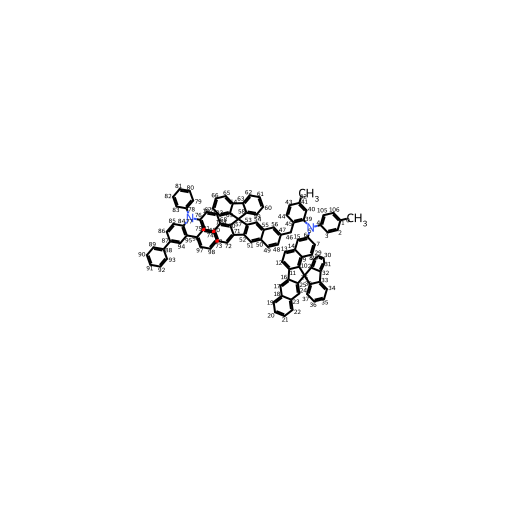 Cc1ccc(N(c2ccc3c4c(ccc3c2)-c2cc3ccccc3cc2C42c3ccccc3-c3ccccc32)c2cc(C)ccc2Cc2ccc3cc4c(cc3c2)C2(c3ccccc3-c3ccccc32)c2c-4ccc3cc(N(c4ccccc4)c4ccc(-c5ccccc5)cc4-c4ccccc4)ccc23)cc1